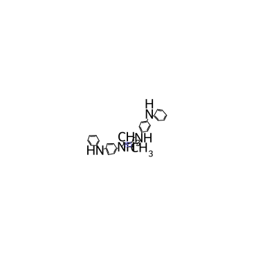 C/C(CNc1ccc(Nc2ccccc2)cc1)=C(/C)Nc1ccc(Nc2ccccc2)cc1